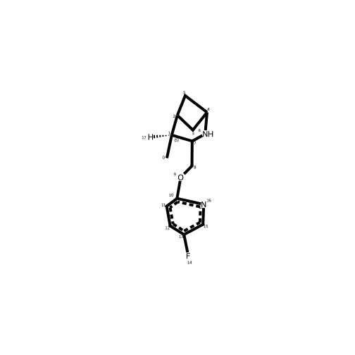 C[C@H]1C2CC(C2)NC1COc1ccc(F)cn1